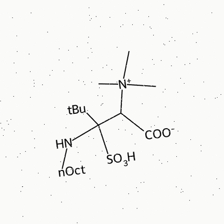 CCCCCCCCNC(C(C(=O)[O-])[N+](C)(C)C)(C(C)(C)C)S(=O)(=O)O